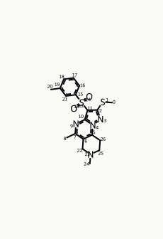 CSc1nn2c3c(c(C)nc2c1S(=O)(=O)c1cccc(C)c1)CN(C)CC3